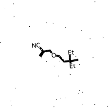 C=C(C#N)COCCC(C)(CC)CC